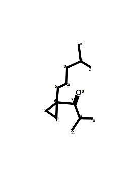 CC(C)CCCC1(C(=O)C(C)C)CC1